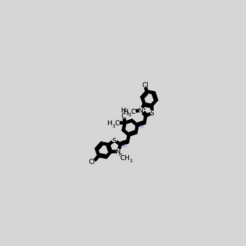 CN1/C(=C/C2=CC(=C/c3sc4ccc(Cl)cc4[n+]3C)/CC(C)(C)C2)Sc2ccc(Cl)cc21